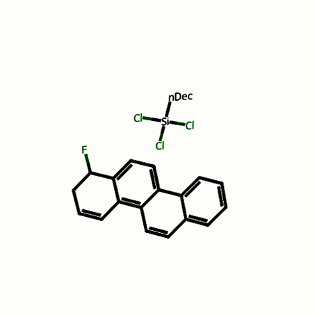 CCCCCCCCCC[Si](Cl)(Cl)Cl.FC1CC=Cc2c1ccc1c2ccc2ccccc21